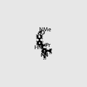 CNC(=O)CN1CCC(c2ccc3[nH]c(-c4cc(C5CC5)c5nc(C)nn5c4)c(C(C)C)c3c2)CC1